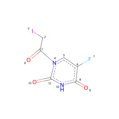 O=C(CI)n1cc(F)c(=O)[nH]c1=O